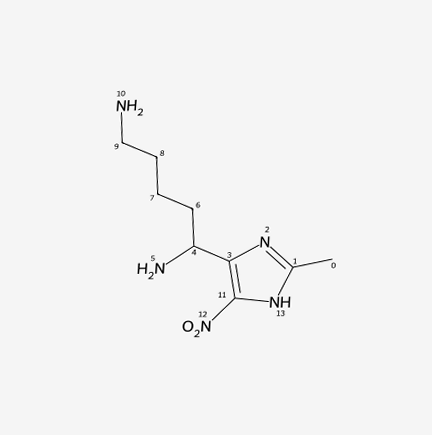 Cc1nc(C(N)CCCCN)c([N+](=O)[O-])[nH]1